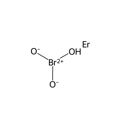 [Er].[O-][Br+2]([O-])O